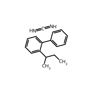 CCC(C)c1ccccc1-c1ccccc1.N=C=N